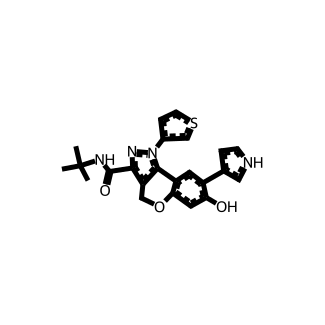 CC(C)(C)NC(=O)c1nn(-c2ccsc2)c2c1COc1cc(O)c(-c3cc[nH]c3)cc1-2